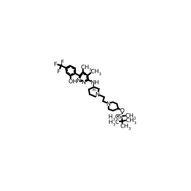 Cc1c(N[C@@H]2CCCN(CCN3CCC(O[Si](C)(C)C(C)(C)C)CC3)C2)nnc(-c2ccc(C(F)(F)F)cc2O)c1C